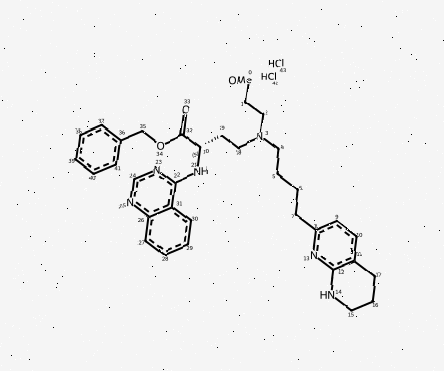 COCCN(CCCCc1ccc2c(n1)NCCC2)CC[C@H](Nc1ncnc2ccccc12)C(=O)OCc1ccccc1.Cl.Cl